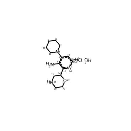 Cl.Cl.Cl.Nc1c(N2CCCCC2)ccnc1C1CNCCO1